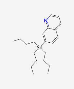 CCC[CH2][Sn]([CH2]CCC)([CH2]CCC)[c]1ccc2cccnc2c1